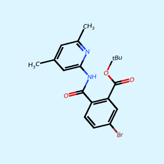 Cc1cc(C)nc(NC(=O)c2ccc(Br)cc2C(=O)OC(C)(C)C)c1